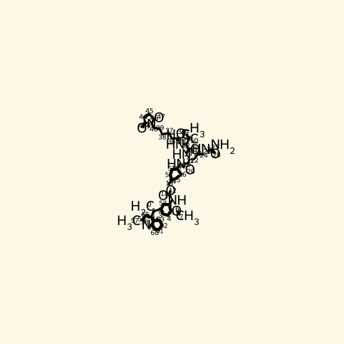 C=C(c1ccc(OC)c(NC(=O)OCc2ccc(NC(=O)[C@H](CCCNC(N)=O)NC(=O)C(NC(=O)CCCCCN3C(=O)C=CC3=O)C(C)C)cc2)c1)c1cc(C)nc2ccccc12